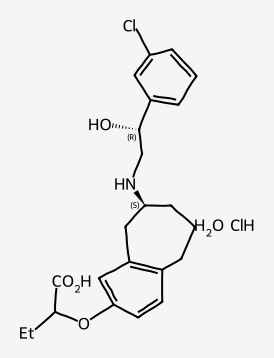 CCC(Oc1ccc2c(c1)C[C@@H](NC[C@H](O)c1cccc(Cl)c1)CCC2)C(=O)O.Cl.O